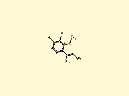 CC=C(C)c1ccc(Cl)c(F)c1OC